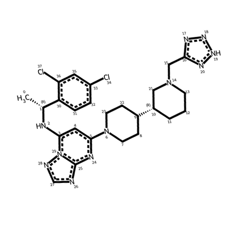 C[C@@H](Nc1cc(N2CCC([C@H]3CCCN(Cc4nn[nH]n4)C3)CC2)nc2ncnn12)c1ccc(Cl)cc1Cl